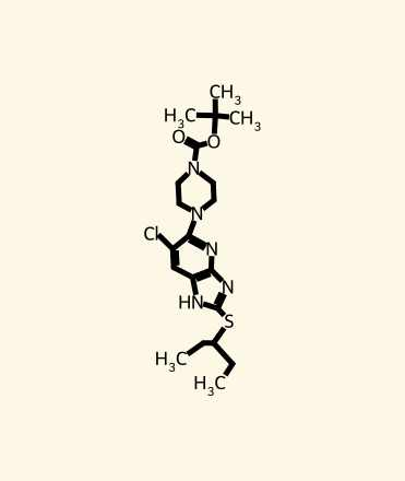 CCC(CC)Sc1nc2nc(N3CCN(C(=O)OC(C)(C)C)CC3)c(Cl)cc2[nH]1